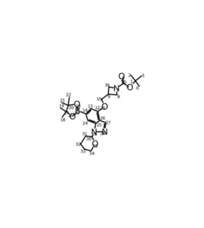 CC(C)(C)OC(=O)N1CC(COc2cc(B3OC(C)(C)C(C)(C)O3)cc3c2cnn3C2CCCCO2)C1